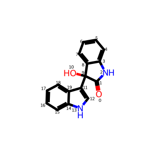 O=C1Nc2ccccc2C1(O)c1c[nH]c2ccccc12